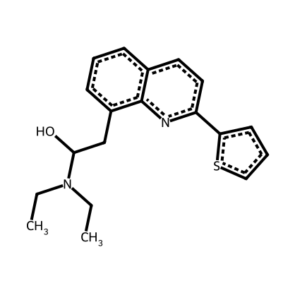 CCN(CC)C(O)Cc1cccc2ccc(-c3cccs3)nc12